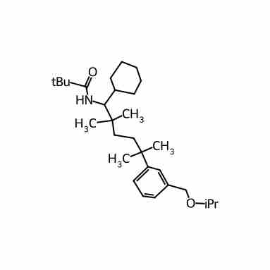 CC(C)OCc1cccc(C(C)(C)CCC(C)(C)C(NC(=O)C(C)(C)C)C2CCCCC2)c1